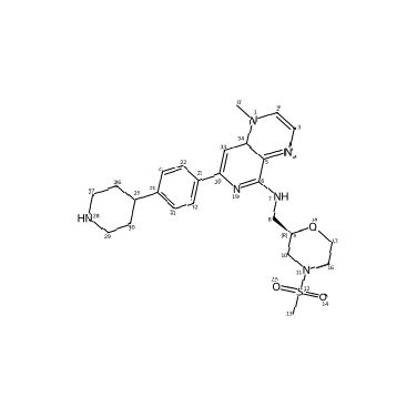 CN1C=CN=C2C(NC[C@@H]3CN(S(C)(=O)=O)CCO3)=NC(c3ccc(C4CCNCC4)cc3)=CC21